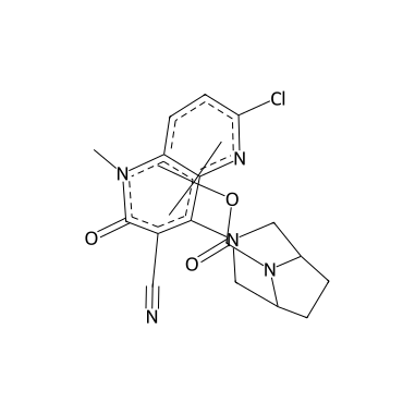 Cn1c(=O)c(C#N)c(N2CC3CCC(C2)N3C(=O)OC(C)(C)C)c2nc(Cl)ccc21